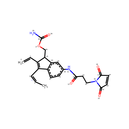 C=CC1=C(/C=C\C)c2ccc(NC(=O)CCN3C(=O)C=CC3=O)cc2C1COC(N)=O